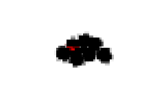 c1ccc(-c2ccccc2N(c2cc3sc4ccccc4c3c3ccccc23)c2cccc3c2c2ccccc2n3-c2ccccc2)cc1